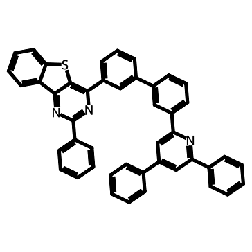 c1ccc(-c2cc(-c3ccccc3)nc(-c3cccc(-c4cccc(-c5nc(-c6ccccc6)nc6c5sc5ccccc56)c4)c3)c2)cc1